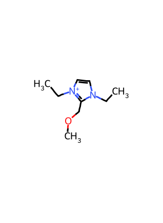 CCn1cc[n+](CC)c1COC